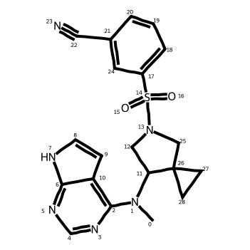 CN(c1ncnc2[nH]ccc12)C1CN(S(=O)(=O)c2cccc(C#N)c2)CC12CC2